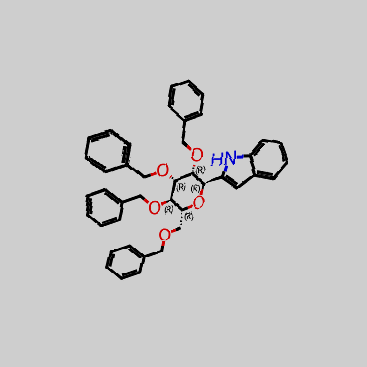 c1ccc(COC[C@H]2O[C@H](c3cc4ccccc4[nH]3)[C@@H](OCc3ccccc3)[C@@H](OCc3ccccc3)[C@@H]2OCc2ccccc2)cc1